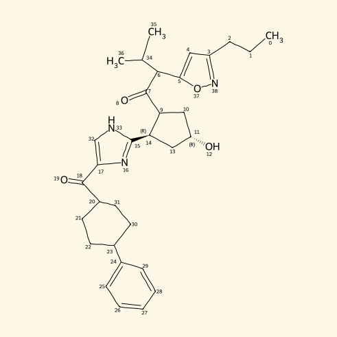 CCCc1cc(C(C(=O)C2C[C@H](O)C[C@H]2c2nc(C(=O)C3CCC(c4ccccc4)CC3)c[nH]2)C(C)C)on1